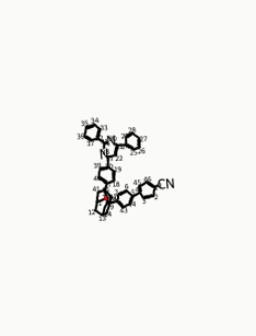 N#Cc1ccc(-c2ccc(C34CC5CC(C3)CC(c3ccc(-c6cc(-c7ccccc7)nc(-c7ccccc7)n6)cc3)(C5)C4)cc2)cc1